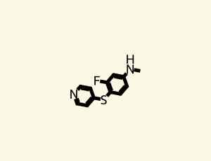 CNc1ccc(Sc2ccncc2)c(F)c1